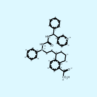 O=C(NC(c1ccccc1)c1cccnc1)NN(CCC1CCCc2c(C(=O)C(=O)O)cccc21)c1ccccc1